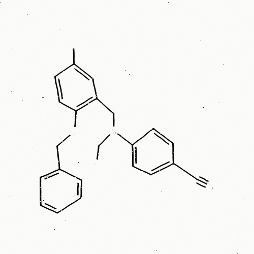 CCN(Cc1cc(Br)ccc1OCc1ccccc1)c1ccc(C#N)cc1